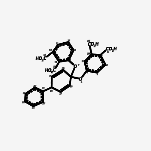 O=C(O)c1ccc(OC2(Oc3cccc(C(=O)O)c3C(=O)O)C=CC(c3ccccc3)C=C2)cc1C(=O)O